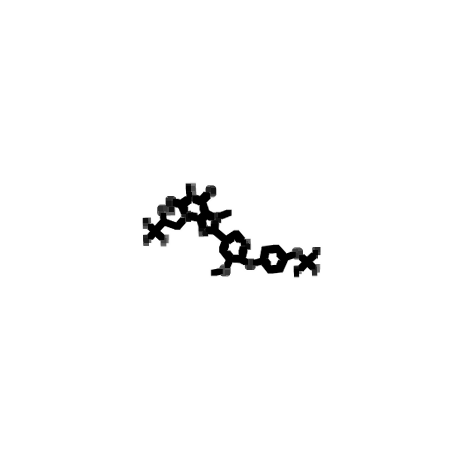 COc1cc(-c2nc3c(c(=O)[nH]c(=O)n3CC(O)C(F)(F)F)n2C)cnc1Oc1ccc(OC(F)(F)F)cc1